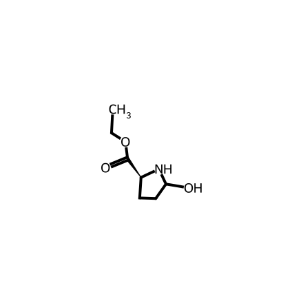 CCOC(=O)[C@@H]1CCC(O)N1